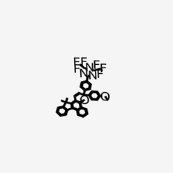 COc1ccc(C2(c3ccc(-c4nc(C(F)(F)F)nc(C(F)(F)F)n4)cc3)C=Cc3c4c(c5ccccc5c3O2)-c2ccccc2C4(C)C)cc1